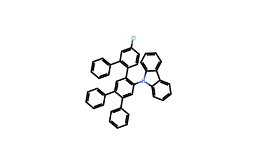 Clc1ccc(-c2cc(-c3ccccc3)c(-c3ccccc3)cc2-n2c3ccccc3c3ccccc32)c(-c2ccccc2)c1